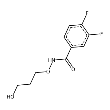 O=C(NOCCCO)c1ccc(F)c(F)c1